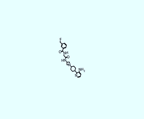 Nc1cccnc1C1CCC(N2CC(NC(=O)CNC(=O)c3cccc(CF)c3)C2)CC1